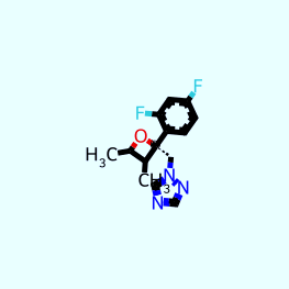 CC1O[C@@](Cn2cncn2)(c2ccc(F)cc2F)C1C